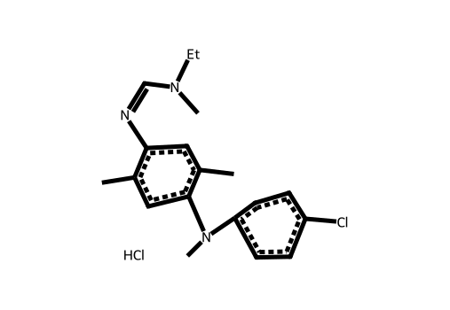 CCN(C)/C=N\c1cc(C)c(N(C)c2ccc(Cl)cc2)cc1C.Cl